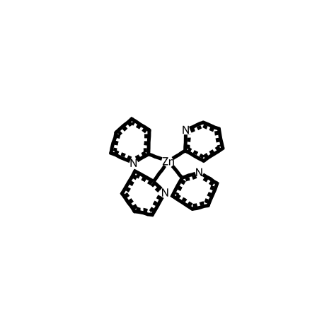 c1cc[c]([Zn]([c]2ccccn2)([c]2ccccn2)[c]2ccccn2)nc1